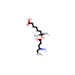 CCC(N)CCC(=O)OC(C)(C)CCCCCC(=O)O